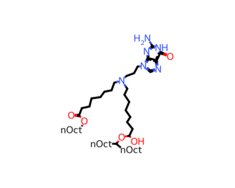 CCCCCCCCOC(=O)CCCCCCCN(CCCCCCCC(O)OC(CCCCCCCC)CCCCCCCC)CCCn1cnc2c(=O)[nH]c(N)nc21